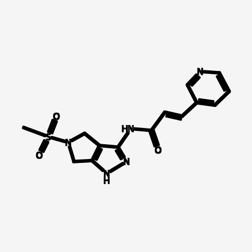 CS(=O)(=O)N1Cc2[nH]nc(NC(=O)C=Cc3cccnc3)c2C1